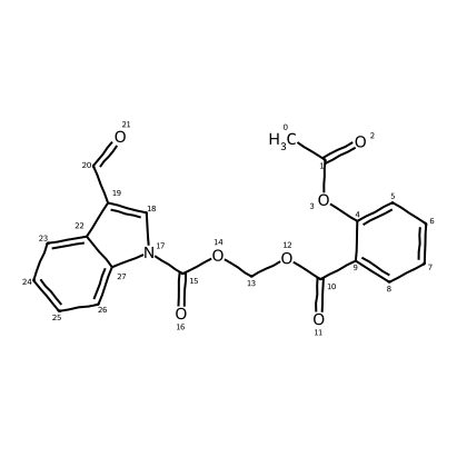 CC(=O)Oc1ccccc1C(=O)OCOC(=O)n1cc(C=O)c2ccccc21